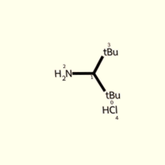 CC(C)(C)C(N)C(C)(C)C.Cl